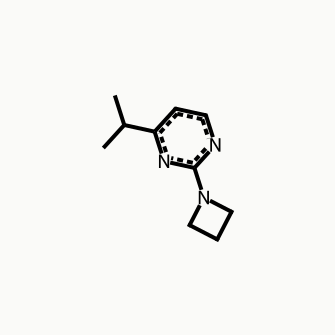 CC(C)c1ccnc(N2CCC2)n1